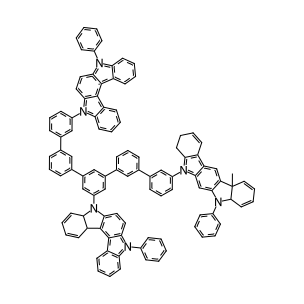 CC12C=CC=CC1N(c1ccccc1)c1cc3c(cc12)c1c(n3-c2cccc(-c3cccc(-c4cc(-c5cccc(-c6cccc(-n7c8ccccc8c8c9c%10ccccc%10n(-c%10ccccc%10)c9ccc87)c6)c5)cc(N5c6ccc7c(c6C6C=CC=CC65)c5ccccc5n7-c5ccccc5)c4)c3)c2)CCC=C1